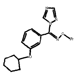 CC(C)ON=C(c1cccc(OC2CCCCC2)c1)n1cncn1